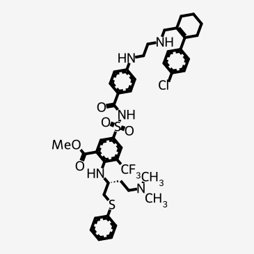 COC(=O)c1cc(S(=O)(=O)NC(=O)c2ccc(NCCNCC3=C(c4ccc(Cl)cc4)CCCC3)cc2)cc(C(F)(F)F)c1N[C@H](CCN(C)C)CSc1ccccc1